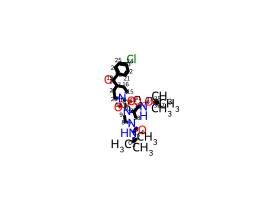 CC(C)(C)NC(=O)N1CCN(S(=O)(=O)N2CCC(C(=O)c3ccc(Cl)cc3)CC2)C(C(=O)NOC(C)(C)C)C1